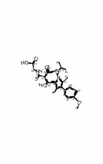 COc1ccc(-c2c(C)c3c(O)c(C(=O)NCC(=O)O)c(=O)n(C(C)C)n3c2C)cc1